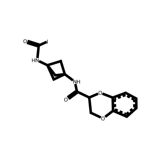 O=C(I)NC12CC(NC(=O)C3COc4ccccc4O3)(C1)C2